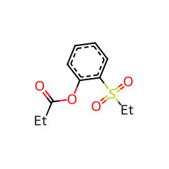 CCC(=O)Oc1ccccc1S(=O)(=O)CC